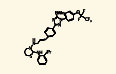 CNc1nc(-c2ccc(/C=C/CNN3CCCSC3Nc3ccccc3C(C)C)cc2)nn1-c1ccc(OC(F)(F)C(F)(F)F)cc1